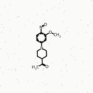 COc1cc(N2CCC(C(C)=O)CC2)ccc1N=O